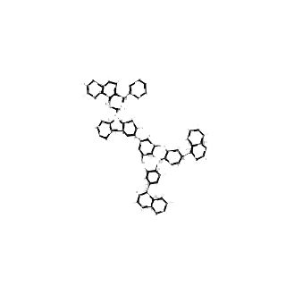 c1ccc(-c2nc(-n3c4ccccc4c4cc(-c5cc6c7c(c5)Oc5cc(-c8cccc9ccccc89)ccc5N7c5ccc(-c7cccc8ccccc78)cc5O6)ccc43)nc3c2ccc2ccccc23)cc1